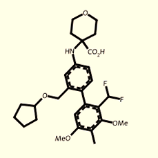 COc1cc(-c2ccc(NC3(C(=O)O)CCOCC3)cc2COC2CCCC2)c(C(F)F)c(OC)c1C